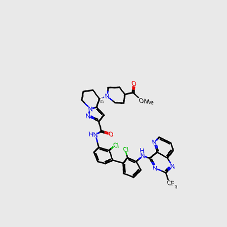 COC(=O)C1CCN([C@H]2CCCn3nc(C(=O)Nc4cccc(-c5cccc(Nc6nc(C(F)(F)F)nc7cccnc67)c5Cl)c4Cl)cc32)CC1